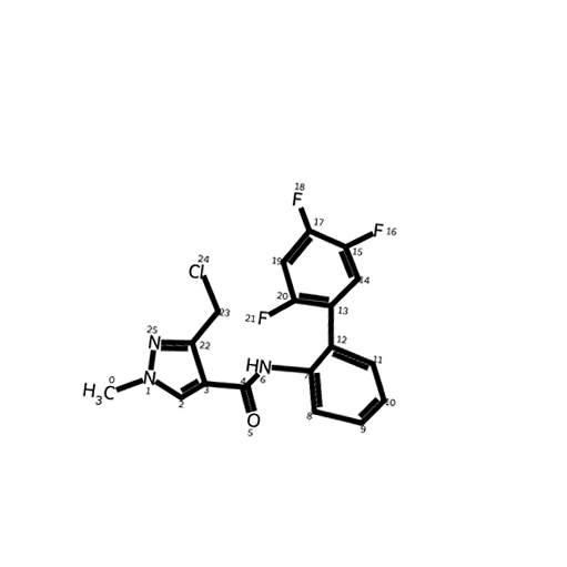 Cn1cc(C(=O)Nc2ccccc2-c2cc(F)c(F)cc2F)c(CCl)n1